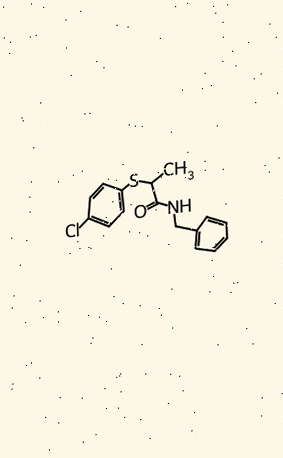 CC(Sc1ccc(Cl)cc1)C(=O)NCc1ccccc1